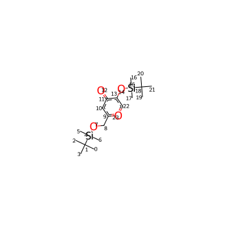 CC(C)(C)[Si](C)(C)OCc1cc(=O)c(O[Si](C)(C)C(C)(C)C)co1